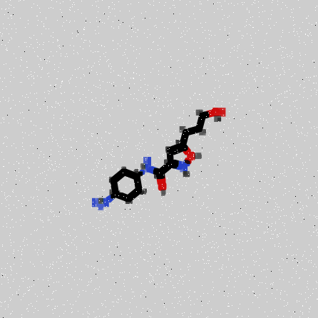 N[C@H]1CC[C@H](NC(=O)c2cc(CCCO)on2)CC1